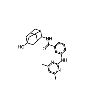 Cc1cc(C)nc(Nc2cccc(C(=O)NC3C4CC5CC3CC(O)(C5)C4)c2)n1